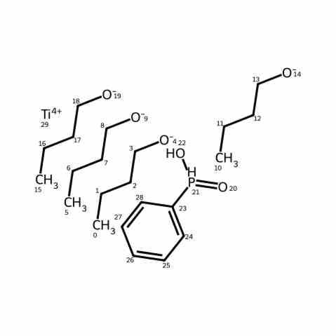 CCCC[O-].CCCC[O-].CCCC[O-].CCCC[O-].O=[PH](O)c1ccccc1.[Ti+4]